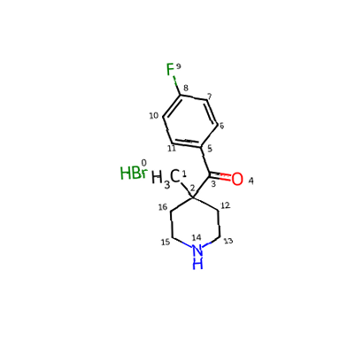 Br.CC1(C(=O)c2ccc(F)cc2)CCNCC1